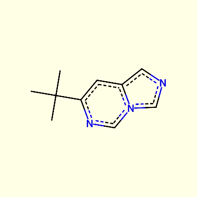 CC(C)(C)c1cc2cncn2cn1